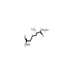 COC(=O)CCC[C@H](N)C(=O)OC(C)(C)C